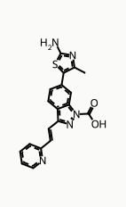 Cc1nc(N)sc1-c1ccc2c(C=Cc3ccccn3)nn(C(=O)O)c2c1